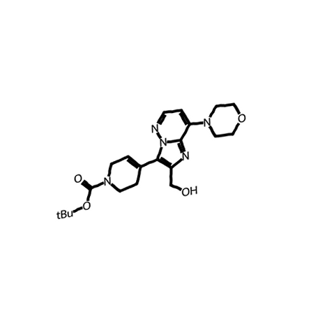 CC(C)(C)OC(=O)N1CC=C(c2c(CO)nc3c(N4CCOCC4)ccnn23)CC1